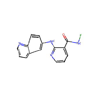 O=C(NF)c1cccnc1Nc1ccc2ncccc2c1